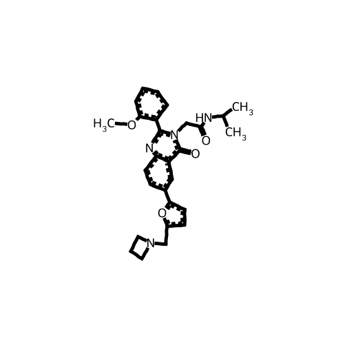 COc1ccccc1-c1nc2ccc(-c3ccc(CN4CCC4)o3)cc2c(=O)n1CC(=O)NC(C)C